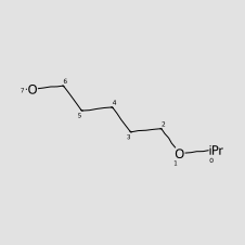 CC(C)OCCCCC[O]